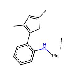 CC.CC1=CC(C)=C(c2ccccc2NC(C)(C)C)C1